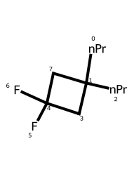 CCCC1(CCC)CC(F)(F)C1